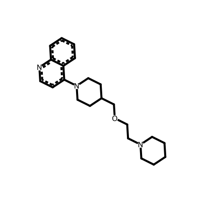 c1ccc2c(N3CCC(COCCN4CCCCC4)CC3)ccnc2c1